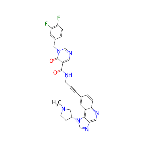 CN1CC[C@@H](n2cnc3cnc4ccc(C#CCNC(=O)c5cncn(Cc6ccc(F)c(F)c6)c5=O)cc4c32)C1